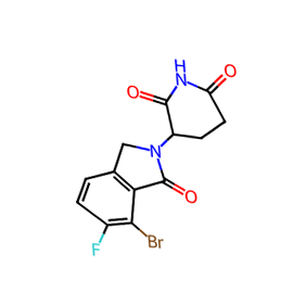 O=C1CCC(N2Cc3ccc(F)c(Br)c3C2=O)C(=O)N1